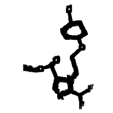 COC(=O)c1cnc(C(F)F)n1CCOc1ccc(Cl)cc1